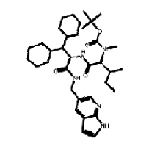 CCC(C)[C@@H](C(=O)N[C@@H](C(=O)NCc1cnc2[nH]ccc2c1)C(C1CCCCC1)C1CCCCC1)N(C)C(=O)OC(C)(C)C